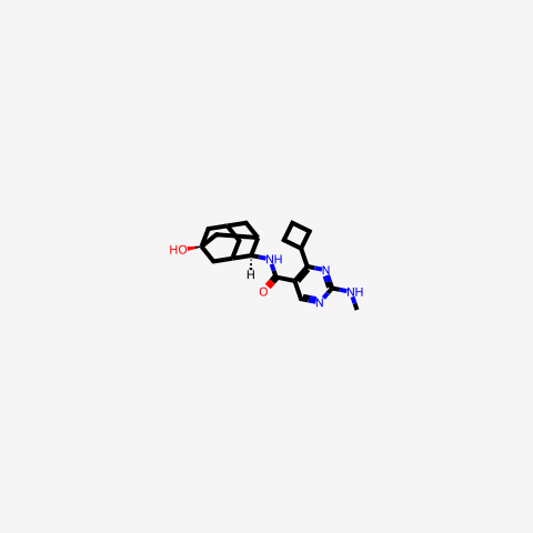 CNc1ncc(C(=O)N[C@H]2C3CC4CC2C[C@@](O)(C4)C3)c(C2CCC2)n1